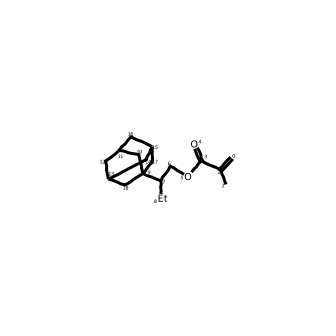 C=C(C)C(=O)OCC(CC)C12CC3CC(CC(C3)C1)C2